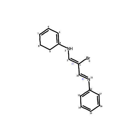 BrC(=C\NC1=CC=CCC1)/C=N/c1ccccc1